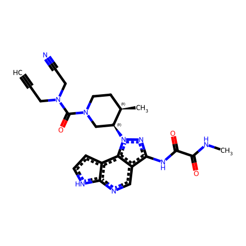 C#CCN(CC#N)C(=O)N1CC[C@@H](C)[C@@H](n2nc(NC(=O)C(=O)NC)c3cnc4[nH]ccc4c32)C1